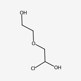 OCCOCC(O)Cl